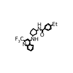 CCc1ccc(C(=O)NC2CCC[C@H](Nc3cc(C(F)(F)F)nc4ccccc34)C2)cc1